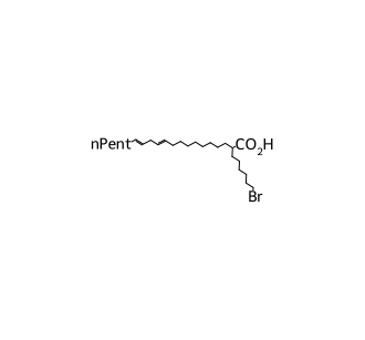 CCCCCC=CCC=CCCCCCCCCC(CCCCCCBr)C(=O)O